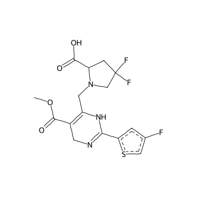 COC(=O)C1=C(CN2CC(F)(F)CC2C(=O)O)NC(c2cc(F)cs2)=NC1